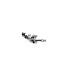 Cc1ncsc1-c1ccc([C@H](C)NC(=O)[C@@H]2C[C@@H](O)CN2C(=O)[C@@H](NC(=O)CCCCCO)C(C)(C)C)cc1